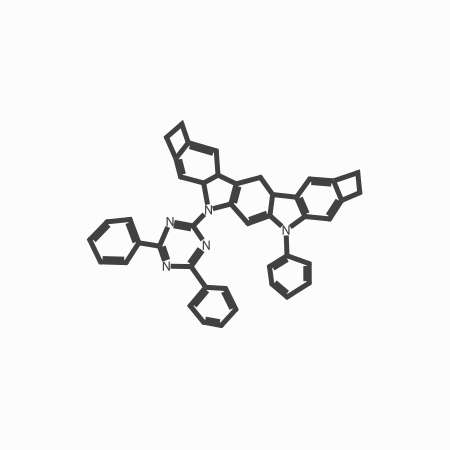 C1=C2CCC2=CC2C1C1=C(C=C3C(C1)c1cc4c(cc1N3c1ccccc1)CC4)N2c1nc(-c2ccccc2)nc(-c2ccccc2)n1